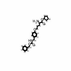 N[C@@H](CCCOc1ccc(CNC(=O)OCc2ccccc2)cc1)C(=O)OC1CCCC1